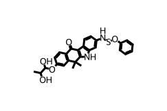 CC(O)C(O)Oc1ccc2c(c1)C(C)(C)c1[nH]c3cc(NSOc4ccccc4)ccc3c1C2=O